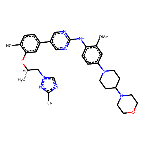 COc1cc(N2CCC(N3CCOCC3)CC2)ccc1Nc1ncc(-c2ccc(C#N)c(O[C@@H](C)Cn3cnc(C#N)n3)c2)cn1